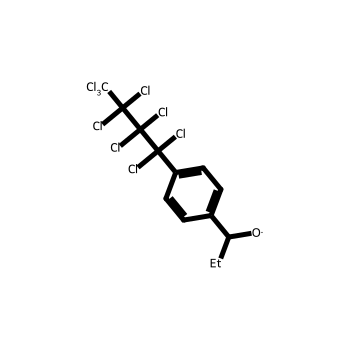 CCC([O])c1ccc(C(Cl)(Cl)C(Cl)(Cl)C(Cl)(Cl)C(Cl)(Cl)Cl)cc1